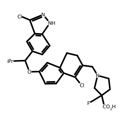 CC(C)C(Oc1ccc2c(c1)CCC(CN1CCC(F)(C(=O)O)C1)=C2Cl)c1ccc2[nH]nc(Cl)c2c1